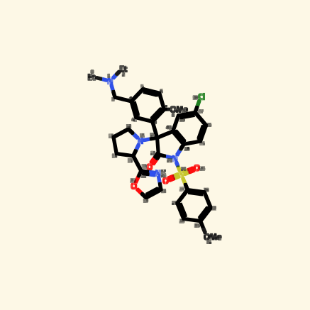 CCN(CC)Cc1ccc(OC)c(C2(N3CCCC3c3ncco3)C(=O)N(S(=O)(=O)c3ccc(OC)cc3)c3ccc(Cl)cc32)c1